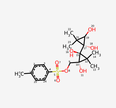 Cc1ccc(S(=O)(=O)OC[C@]2(O)C(C)(C)[C@@]2(O)[C@]2(O)C(O)C2(C)C)cc1